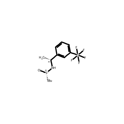 C[C@@H](N[S@@+]([O-])C(C)(C)C)c1cccc(S(F)(F)(F)(F)F)c1